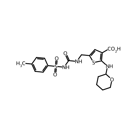 Cc1ccc(S(=O)(=O)NC(=O)NCc2cc(C(=O)O)c(NC3CCCCO3)s2)cc1